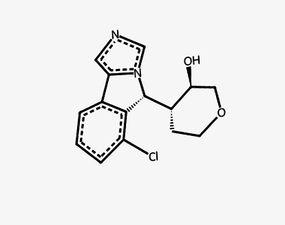 O[C@H]1COCC[C@@H]1[C@@H]1c2c(Cl)cccc2-c2cncn21